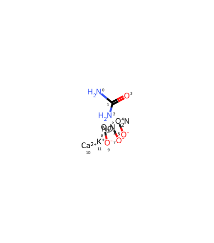 NC(N)=O.O=[N+]([O-])[O-].O=[N+]([O-])[O-].O=[N+]([O-])[O-].[Ca+2].[K+]